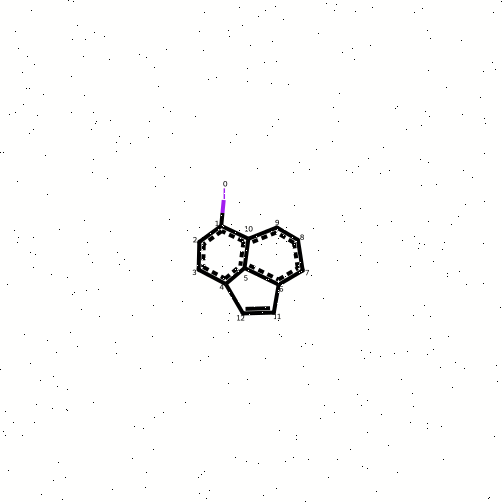 Ic1ccc2c3c(cccc13)C=C2